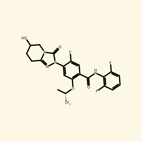 C[C@H](Oc1cc(-n2nc3n(c2=O)CC(O)CC3)c(F)cc1C(=O)Nc1c(F)cccc1F)C(F)(F)F